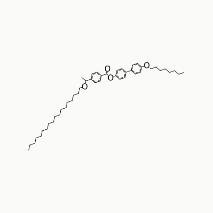 CCCCCCCCCCCCCCCCCCOC(C)c1ccc(C(=O)Oc2ccc(-c3ccc(OCCCCCCCC)cc3)cc2)cc1